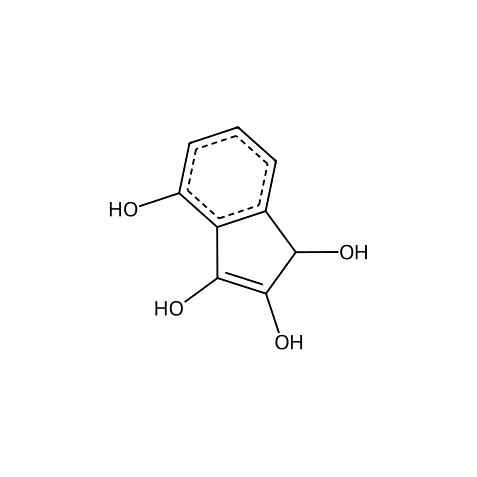 OC1=C(O)C(O)c2cccc(O)c21